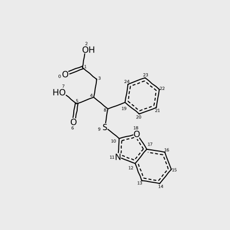 O=C(O)CC(C(=O)O)C(Sc1nc2ccccc2o1)c1ccccc1